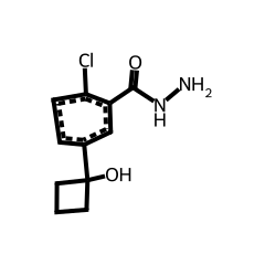 NNC(=O)c1cc(C2(O)CCC2)ccc1Cl